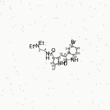 CCN(CC)CCNC(=O)c1cc(C)[nH]c1/C=C1\C(=O)Nc2ccc(Br)cc21